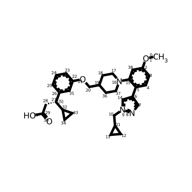 COc1ccc(-c2cnn(CC3CC3)c2)c(N2CCC(COc3cccc([C@@H](CC(=O)O)C4CC4)c3)CC2)c1